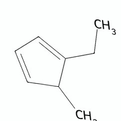 CCC1=CC=CC1C